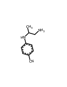 CC(CN)Nc1ccc(C#N)cc1